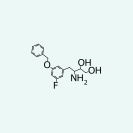 NC(Cc1cc(F)cc(OCc2ccccc2)c1)C(O)CO